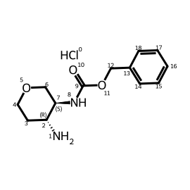 Cl.N[C@@H]1CCOC[C@H]1NC(=O)OCc1ccccc1